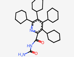 NC(=O)NC(=O)c1nc(C2CCCCC2)c(C2CCCCC2)c(C2CCCCC2)c1C1CCCCC1